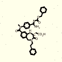 CN(C(=O)c1ccc2c(c1)N[C@H](CC(=O)O)C(=O)N(CCc1ccccc1)C2)c1ccc(C(N)=NC(=O)OCc2ccccc2)cc1